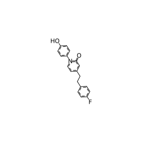 O=c1cc(CCc2ccc(F)cc2)ccn1-c1ccc(O)cc1